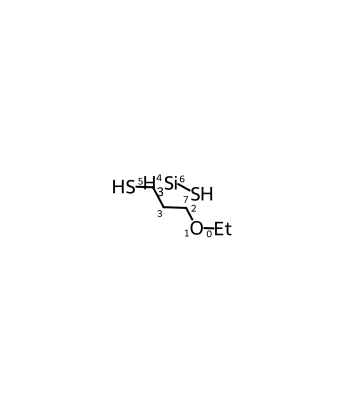 CCOCCCS.[SiH3]S